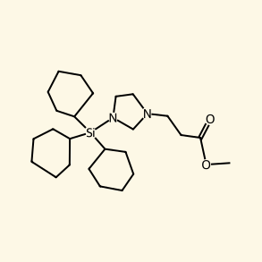 COC(=O)CCN1CCN([Si](C2CCCCC2)(C2CCCCC2)C2CCCCC2)C1